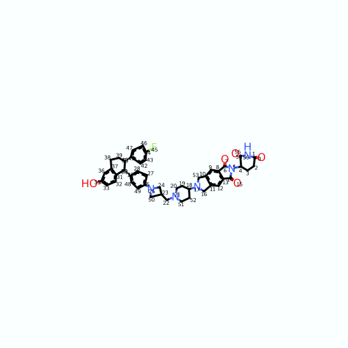 O=C1CCC(N2C(=O)c3cc4c(cc3C2=O)CN(C2CCN(CC3CN(c5ccc([C@H]6c7ccc(O)cc7CC[C@H]6c6ccc(F)cc6)cc5)C3)CC2)C4)C(=O)N1